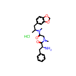 CC(Cc1ccc2c(c1)OCO2)N(C)C(=O)CN(C)C(=O)[C@@H](N)Cc1ccccc1.Cl